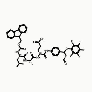 CC(C)C[C@@H](NC(=O)OCC1c2ccccc2-c2ccccc21)C(=O)N[C@@H](C)C(=O)N[C@@H](CCC(=O)O)C(=O)Nc1ccc(C(OC=O)Oc2c(F)c(F)c(F)c(F)c2F)cc1